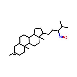 CC(C)C(CCC1CCC2C3CC=C4C[C@H](C)CCC4(C)C3CCC12C)N=O